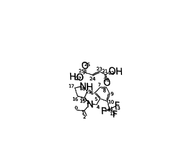 CC(C)N(Cc1ccccc1C(F)(F)F)[C@H]1CCNC1.O=C(O)C=CC(=O)O